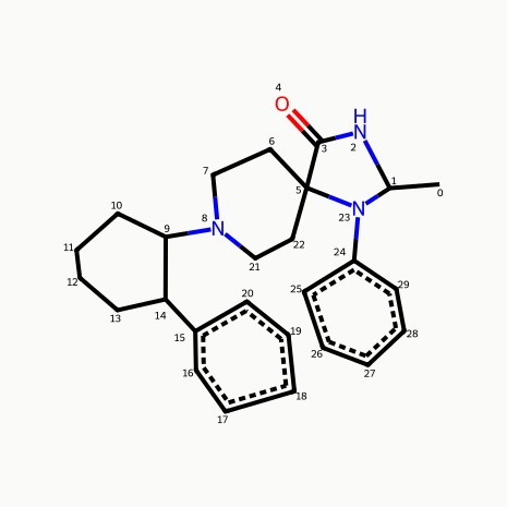 CC1NC(=O)C2(CCN(C3CCCCC3c3ccccc3)CC2)N1c1ccccc1